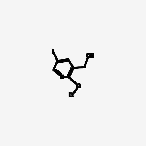 CCOc1ncc(I)cc1CO